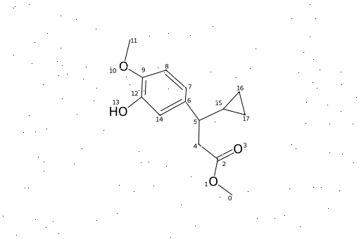 COC(=O)CC(c1ccc(OC)c(O)c1)C1CC1